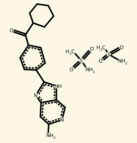 CS(N)(=O)=O.CS(N)(=O)=O.Nc1cc2nc(-c3ccc(C(=O)C4CCCCC4)cc3)[nH]c2cn1